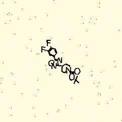 CC(C)(C)OC(=O)N1CCC(c2noc(-c3ccc(F)c(F)c3)n2)CC1